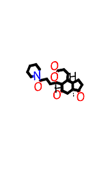 C[C@]1(CCC(=O)N2CCCCC2)OC(=O)CC[C@H]2C3CCC(=O)[C@@]3(C)CC(=O)[C@@H]21